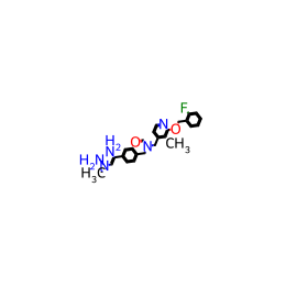 Cc1c(CN(C=O)Cc2ccc(/C(N)=C/N(C)N)cc2)ccnc1OCc1ccccc1F